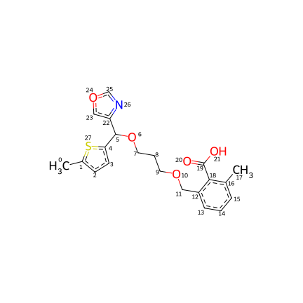 Cc1ccc(C(OCCCOCc2cccc(C)c2C(=O)O)c2cocn2)s1